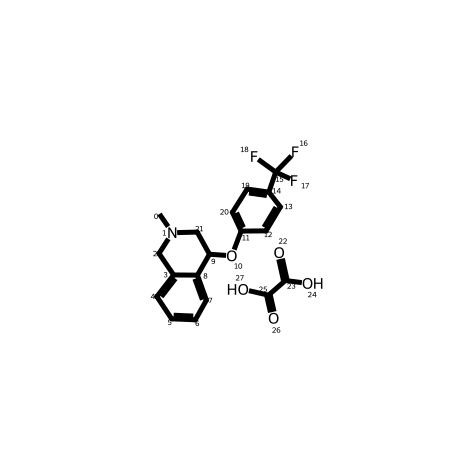 CN1Cc2ccccc2C(Oc2ccc(C(F)(F)F)cc2)C1.O=C(O)C(=O)O